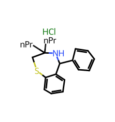 CCCC1(CCC)CSc2ccccc2C(c2ccccc2)N1.Cl